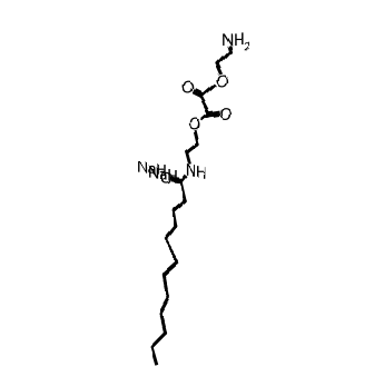 CCCCCCCCCCCC(=O)NCCOC(=O)C(=O)OCCN.[NaH].[NaH]